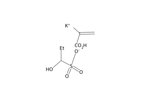 C=C(C)C(=O)O.CCC(O)S(=O)(=O)[O-].[K+]